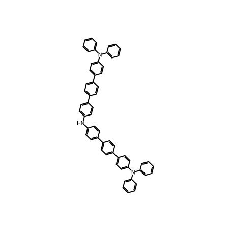 c1ccc(N(c2ccccc2)c2ccc(-c3ccc(-c4ccc(Nc5ccc(-c6ccc(-c7ccc(N(c8ccccc8)c8ccccc8)cc7)cc6)cc5)cc4)cc3)cc2)cc1